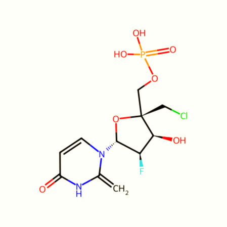 C=C1NC(=O)C=CN1[C@@H]1O[C@](CCl)(COP(=O)(O)O)[C@@H](O)[C@H]1F